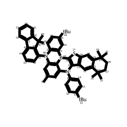 Cc1cc2c3c(c1)N(c1ccc(C(C)(C)C)cc1)c1c(sc4cc5c(cc14)C(C)(C)CCC5(C)C)B3c1cc(C(C)(C)C)ccc1N2c1cccc2c1C(C)(C)c1ccccc1-2